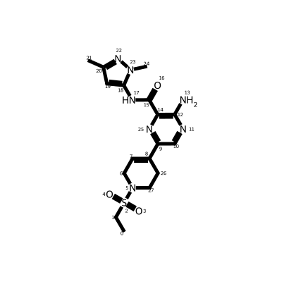 CCS(=O)(=O)N1CC=C(c2cnc(N)c(C(=O)Nc3cc(C)nn3C)n2)CC1